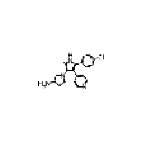 NC1CCN(c2n[nH]c(-c3ccc(Cl)cc3)c2-c2ccncc2)C1